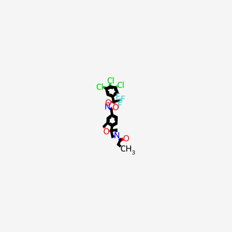 CCC(=O)N1CC2(C1)OCc1cc(C3=NOC(c4cc(Cl)c(Cl)c(Cl)c4)(C(F)(F)F)O3)ccc12